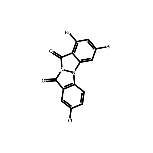 O=c1c2cc(Cl)ccc2n2c3cc(Br)cc(Br)c3c(=O)n12